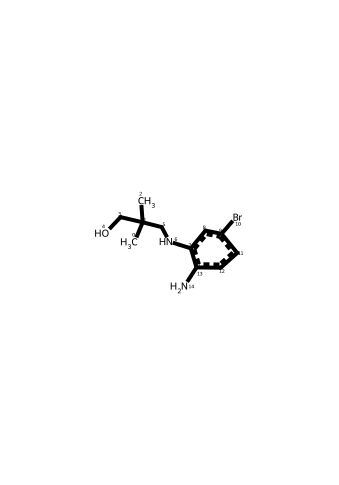 CC(C)(CO)CNc1cc(Br)ccc1N